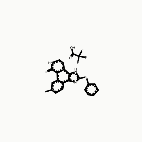 O=C(O)C(F)(F)F.O=c1[nH]ccc2c3[nH]c(Sc4ccccc4)nc3c3ccc(F)cc3c12